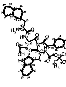 CC(C)(C)OC(=O)N[C@@H](Cc1c[nH]c2ccccc12)C(=O)N(C(=O)Cc1ccccc1)C(=O)[C@H](CC(=O)O)NC(=O)[C@@H](N)Cc1ccc2ccccc2c1